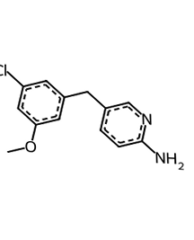 COc1cc(Cl)cc(Cc2ccc(N)nc2)c1